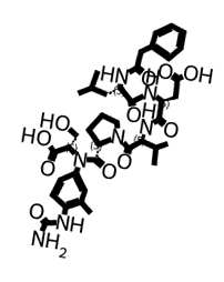 Cc1cc(N(C(=O)[C@@H]2CCCN2C(=O)[C@@H](NC(=O)[C@H](CC(=O)O)NC(=O)[C@H](CC(C)C)NC(=O)Cc2ccccc2)C(C)C)[C@@H](CO)C(=O)O)ccc1NC(N)=O